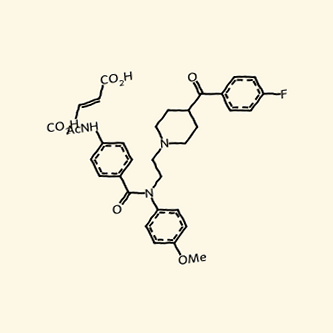 COc1ccc(N(CCN2CCC(C(=O)c3ccc(F)cc3)CC2)C(=O)c2ccc(NC(C)=O)cc2)cc1.O=C(O)/C=C/C(=O)O